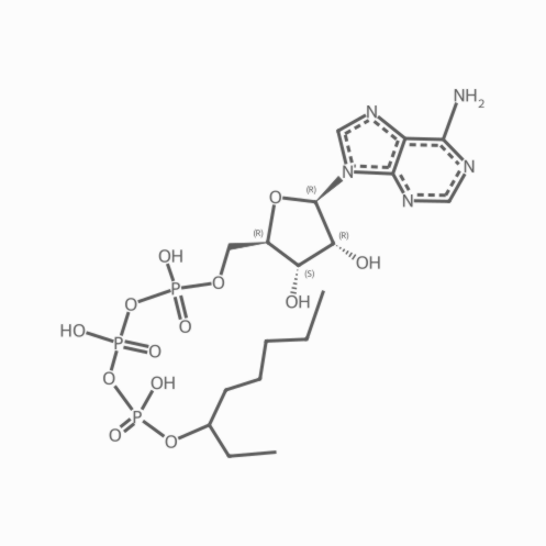 CCCCCC(CC)OP(=O)(O)OP(=O)(O)OP(=O)(O)OC[C@H]1O[C@@H](n2cnc3c(N)ncnc32)[C@H](O)[C@@H]1O